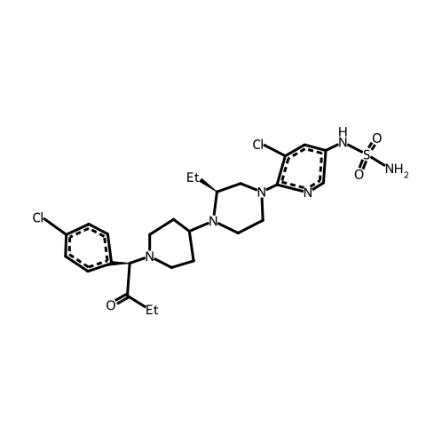 CCC(=O)[C@@H](c1ccc(Cl)cc1)N1CCC(N2CCN(c3ncc(NS(N)(=O)=O)cc3Cl)C[C@@H]2CC)CC1